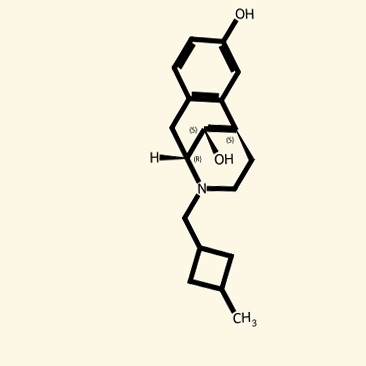 CC1CC(CN2CC[C@]34CCCC[C@@]3(O)[C@H]2Cc2ccc(O)cc24)C1